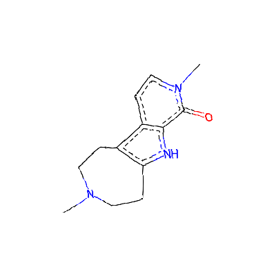 CN1CCc2[nH]c3c(=O)n(C)ccc3c2CC1